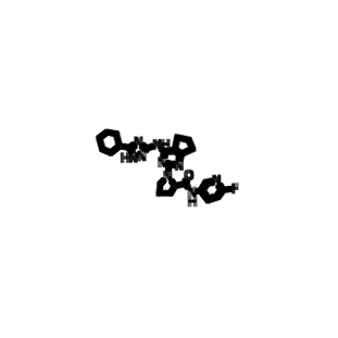 O=C(Nc1ccc(F)nc1)C1CCCN1c1nc2c(c(Nc3n[nH]c(C4CCCCC4)n3)n1)CCC2